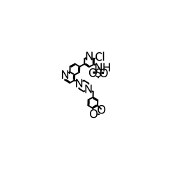 CS(=O)(=O)Nc1cc(-c2ccc3nccc(N4CCN(Cc5ccc6c(c5)OCO6)CC4)c3c2)cnc1Cl